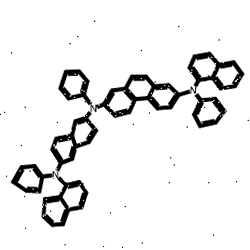 c1ccc(N(c2ccc3cc(N(c4ccccc4)c4cccc5ccccc45)ccc3c2)c2ccc3c(ccc4cc(N(c5ccccc5)c5cccc6ccccc56)ccc43)c2)cc1